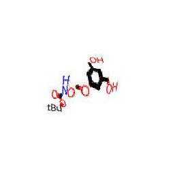 CC(C)(C)OC(=O)NOCOc1cc(CO)cc(CO)c1